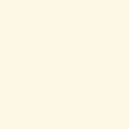 C=CCOc1cc(Cl)c(Cl)cc1C(NC(=O)C(F)(F)F)C1CCN(C(=O)c2ccccc2)CC1